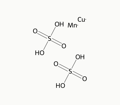 O=S(=O)(O)O.O=S(=O)(O)O.[Cu].[Mn]